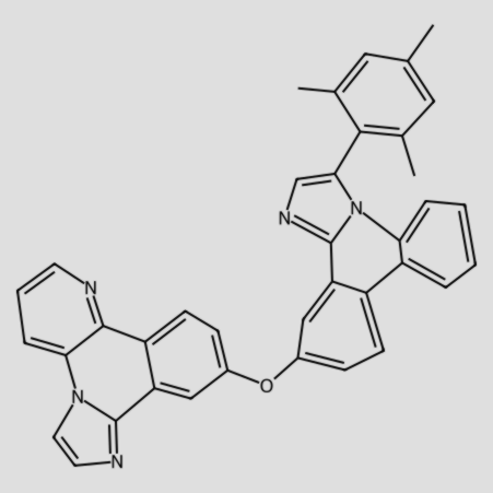 Cc1cc(C)c(-c2cnc3c4cc(Oc5ccc6c(c5)c5nccn5c5cccnc65)ccc4c4ccccc4n23)c(C)c1